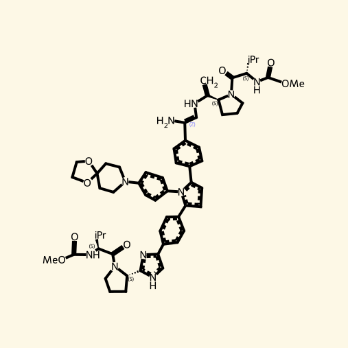 C=C(N/C=C(\N)c1ccc(-c2ccc(-c3ccc(-c4c[nH]c([C@@H]5CCCN5C(=O)[C@@H](NC(=O)OC)C(C)C)n4)cc3)n2-c2ccc(N3CCC4(CC3)OCCO4)cc2)cc1)[C@@H]1CCCN1C(=O)[C@@H](NC(=O)OC)C(C)C